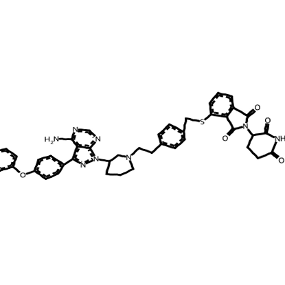 Nc1ncnc2c1c(-c1ccc(Oc3ccccc3)cc1)nn2C1CCCN(CCc2ccc(CSc3cccc4c3C(=O)N(C3CCC(=O)NC3=O)C4=O)cc2)C1